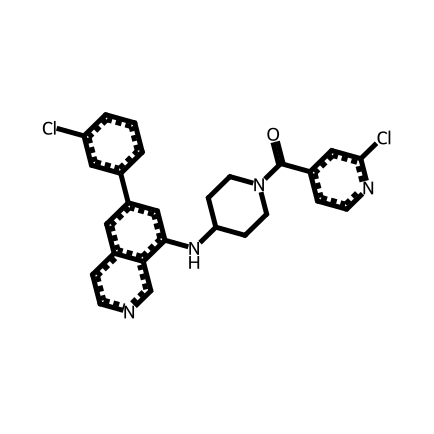 O=C(c1ccnc(Cl)c1)N1CCC(Nc2cc(-c3cccc(Cl)c3)cc3ccncc23)CC1